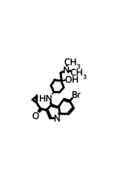 CN(C)C[C@]1(O)CC[C@H](Nc2c(C(=O)C3CC3)cnc3ccc(Br)cc23)CC1